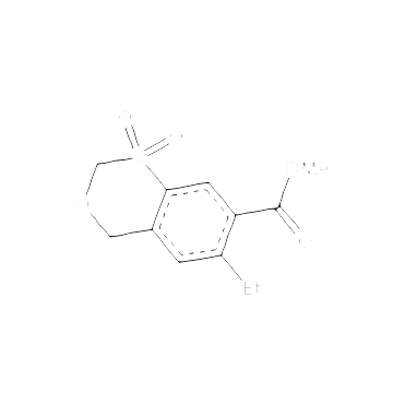 CCc1cc2c(cc1C(=O)OC)S(=O)(=O)COC2